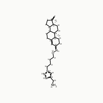 C=C1CCC2C3CCC4=CC(=NOCCCCn5cc(CN)nn5)CC[C@]4(C)C3CC[C@]12C